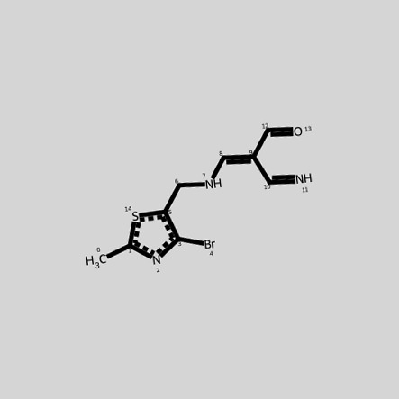 Cc1nc(Br)c(CN/C=C(\C=N)C=O)s1